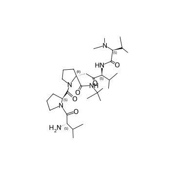 CC(C)[C@H](N)C(=O)N1CCC[C@H]1C(=O)N1CCC[C@@]1(CC(=O)[C@@H](NC(=O)[C@H](C(C)C)N(C)C)C(C)C)C(=O)NC(C)(C)C